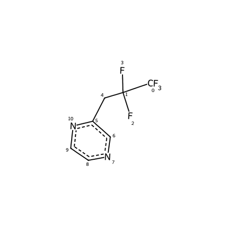 FC(F)(F)C(F)(F)Cc1cnccn1